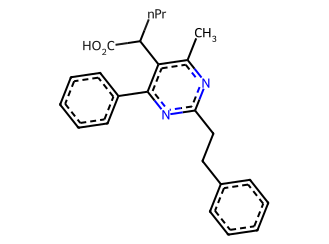 CCCC(C(=O)O)c1c(C)nc(CCc2ccccc2)nc1-c1ccccc1